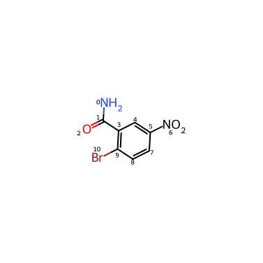 NC(=O)c1cc([N+](=O)[O-])ccc1Br